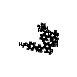 [2H]C([2H])([2H])NC(=O)c1ccccc1Nc1nc(Nc2ccc(-c3cnn(C4CCN(C)CC4)c3)c3c2OCC3)ncc1C(F)(F)F